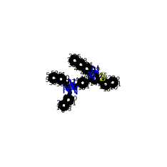 c1ccc2cc(-c3nc(-c4ccc(-c5cc6c7ccc8ccccc8c7sc6c6nc7cc8cc9ccccc9cc8cc7n56)cc4)nc(-c4ccc5ccccc5c4)n3)ccc2c1